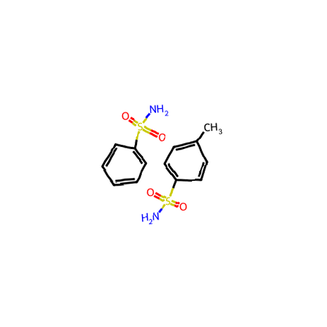 Cc1ccc(S(N)(=O)=O)cc1.NS(=O)(=O)c1ccccc1